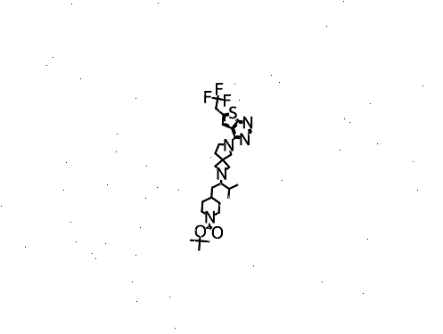 CC(C)C(CC1CCN(C(=O)OC(C)(C)C)CC1)N1CC2(CCN(c3ncnc4sc(CC(F)(F)F)cc34)C2)C1